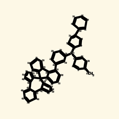 Cc1ccc(N(c2ccc(-c3ccccc3)cc2)c2cccc(-c3cccc4c3-c3ccccc3C43c4ccccc4-c4ccccc4-c4ccccc43)c2)cc1